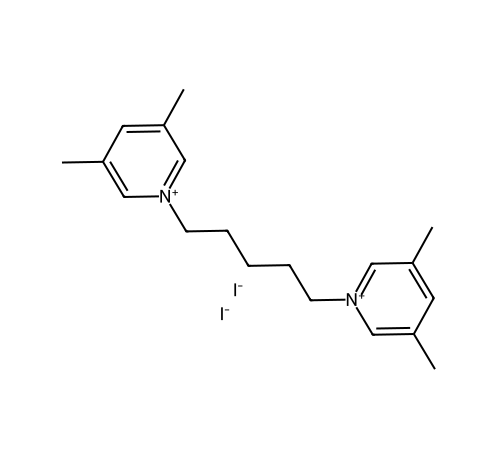 Cc1cc(C)c[n+](CCCCC[n+]2cc(C)cc(C)c2)c1.[I-].[I-]